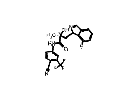 C[C@](O)(CC1N=Cc2cccc(F)c21)C(=O)Nc1ccc(C#N)c(C(F)(F)F)c1